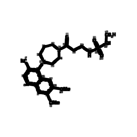 COc1cc2ncc(C#N)c(N3CCCN(C(=O)CCNS(=O)(=O)NC(=O)O)CC3)c2cc1OC